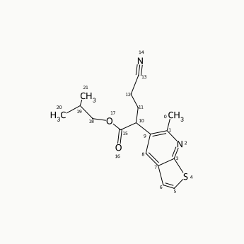 Cc1nc2sccc2cc1C(CCC#N)C(=O)OCC(C)C